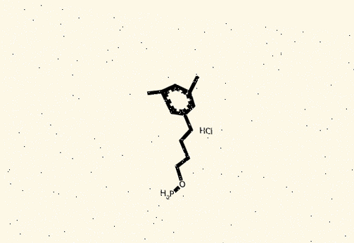 Cc1cc(C)cc(CCCCOP)c1.Cl